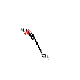 CCCCCCCCCCC/C=C/c1ccc2cc(C(=O)OC)ccc2c1